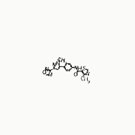 Cc1ncsc1C(=O)Nc1ccc(-c2cc(-c3ncon3)nn2C)cc1